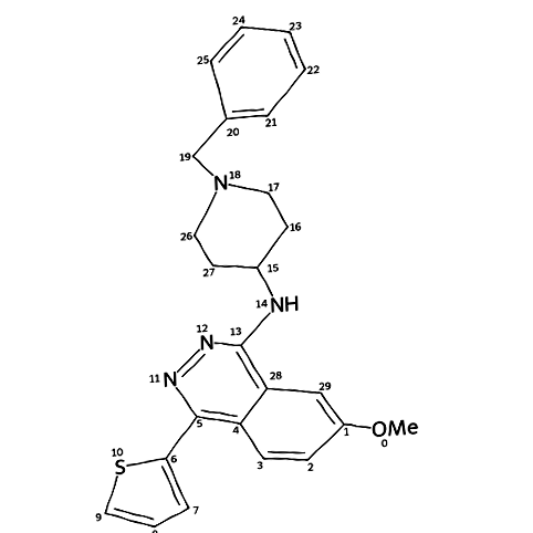 COc1ccc2c(-c3cccs3)nnc(NC3CCN(Cc4ccccc4)CC3)c2c1